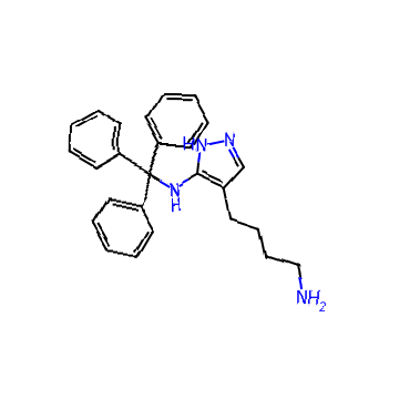 NCCCCc1cn[nH]c1NC(c1ccccc1)(c1ccccc1)c1ccccc1